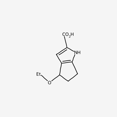 CCOC1CCc2[nH]c(C(=O)O)cc21